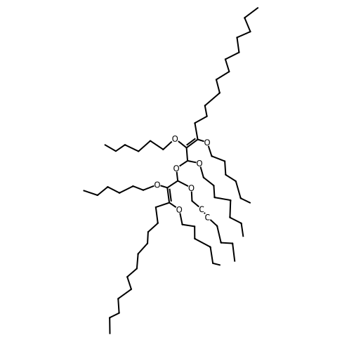 CCCCCCCCCCCCC(OCCCCCC)=C(OCCCCCC)C(OCCCCCCC)OC(OCCCCCCC)C(OCCCCCC)=C(CCCCCCCCCCCC)OCCCCCC